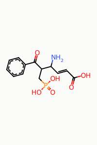 NC(/C=C/C(=O)O)C(CP(=O)(O)O)C(=O)c1ccccc1